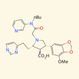 CCCCN(C(=O)CN1C[C@H](c2cc(OC)c3c(c2)OCO3)[C@@H](C(=O)O)[C@@H]1CCc1ccncn1)c1cccnc1